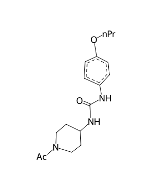 CCCOc1ccc(NC(=O)NC2CCN(C(C)=O)CC2)cc1